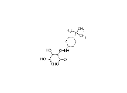 CC(C)(C)C1CCC(NOC(C(=O)O)C(O)C(=O)O)CC1